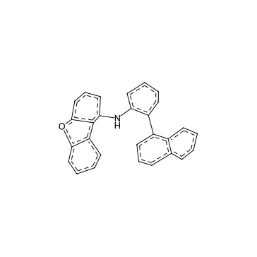 c1ccc(-c2cccc3ccccc23)c(Nc2cccc3oc4ccccc4c23)c1